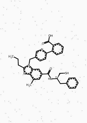 CCCc1nc2c(C)cc(C(=O)N[C@@H](CS)Cc3ccccc3)cc2n1Cc1ccc(-c2ccccc2C(=O)O)nc1